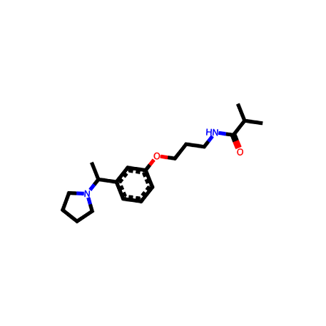 CC(C)C(=O)NCCCOc1cccc(C(C)N2CCCC2)c1